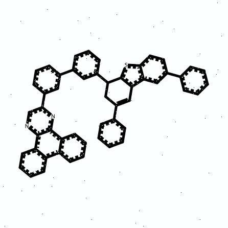 C1=C(c2ccccc2)CC(c2cccc(-c3cccc(-c4cnc5c6ccccc6c6ccccc6c5n4)c3)c2)c2sc3ccc(-c4ccccc4)cc3c21